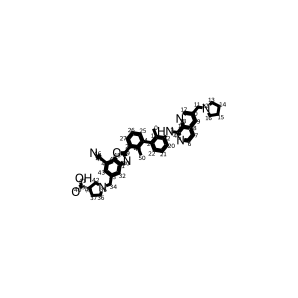 Cc1c(Nc2nccc3cc(CN4CCCC4)cnc23)cccc1-c1cccc(-c2nc3cc(CN4CC[C@H](C(=O)O)C4)cc(C#N)c3o2)c1C